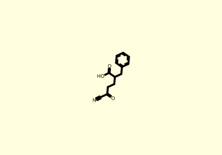 N#CC(=O)CCC(Cc1ccccc1)C(=O)O